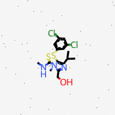 CNC(=S)[N+]1(C)C(CO)=NC(C(C)C)=C1Sc1cc(Cl)cc(Cl)c1